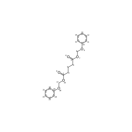 O=C(CCCC(=O)OCOc1ccccc1)OCOc1ccccc1